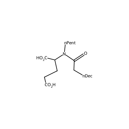 CCCCCCCCCCCC(=O)N(CCCCC)C(CCC(=O)O)C(=O)O